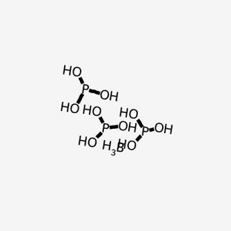 B.OP(O)O.OP(O)O.OP(O)O